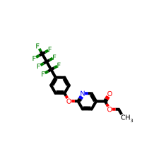 CCOC(=O)c1ccc(Oc2ccc(C(F)(F)C(F)(F)C(F)(F)F)cc2)nc1